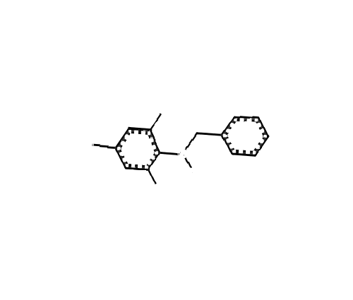 O=CN(Cc1ccccc1)c1c(Cl)cc(Cl)cc1Cl